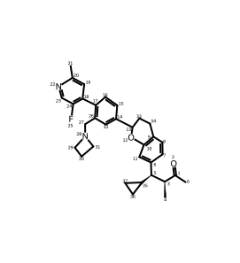 CC(=O)[C@@H](C)[C@H](c1ccc2c(c1)OC(c1ccc(-c3cc(C)ncc3F)c(CN3CCC3)c1)CC2)C1CC1